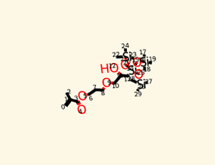 C=C(C)C(=O)OCCCOCC(O)C[Si](O[Si](C)(C)C)(O[Si](C)(C)C)O[Si](C)(C)C